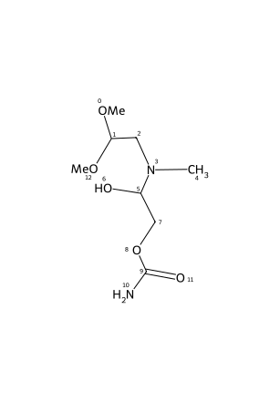 COC(CN(C)C(O)COC(N)=O)OC